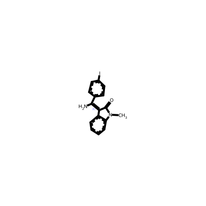 CN1C(=O)/C(=C(/N)c2ccc(I)cc2)c2ccccc21